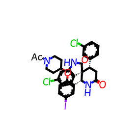 CC(=O)N1CCC(Oc2ccc(I)cc2[C@H]2NC(=O)C[C@@H](c3cccc(Cl)c3)[C@]23C(=O)Nc2cc(Cl)ccc23)CC1